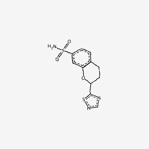 NS(=O)(=O)c1ccc2c(c1)OC(c1ncns1)CC2